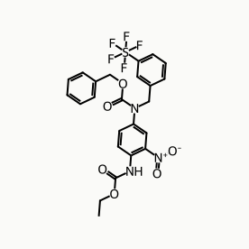 CCOC(=O)Nc1ccc(N(Cc2cccc(S(F)(F)(F)(F)F)c2)C(=O)OCc2ccccc2)cc1[N+](=O)[O-]